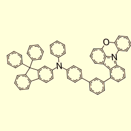 c1ccc(N(c2ccc(-c3cccc(-c4cccc5c4c4cccc6c4n5-c4ccccc4O6)c3)cc2)c2ccc3c(c2)C(c2ccccc2)(c2ccccc2)c2ccccc2-3)cc1